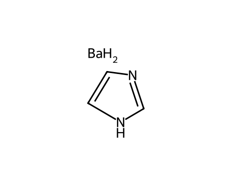 [BaH2].c1c[nH]cn1